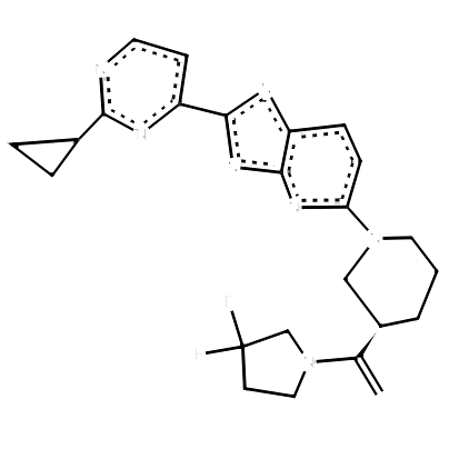 O=C([C@@H]1CCCN(c2ccc3nc(-c4ccnc(C5CC5)n4)[nH]c3n2)C1)N1CCC(F)(F)C1